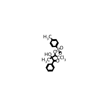 Cc1ccc(S(=O)(=O)OC(C(Cl)(Cl)Cl)C(C)(O)C(=O)c2ccccc2)cc1